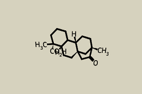 C[C@@]12CC[C@H]3C4CCC[C@@](C)(C(=O)O)[C@H]4CC[C@]3(CC1=O)C2